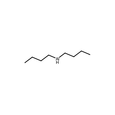 CCC[CH2][AlH][CH2]CCC